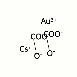 O=C([O-])[O-].O=C([O-])[O-].[Au+3].[Cs+]